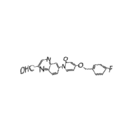 O=Cc1cnc2cc(-n3ccc(OCc4ccc(F)cc4)cc3=O)ccc2n1